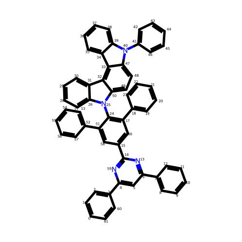 c1ccc(-c2cc(-c3ccccc3)nc(-c3cc(-c4ccccc4)c(-n4c5ccccc5c5c6c7ccccc7n(-c7ccccc7)c6ccc54)c(-c4ccccc4)c3)n2)cc1